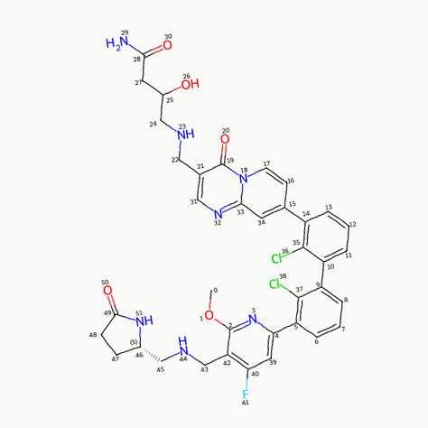 COc1nc(-c2cccc(-c3cccc(-c4ccn5c(=O)c(CNCC(O)CC(N)=O)cnc5c4)c3Cl)c2Cl)cc(F)c1CNC[C@@H]1CCC(=O)N1